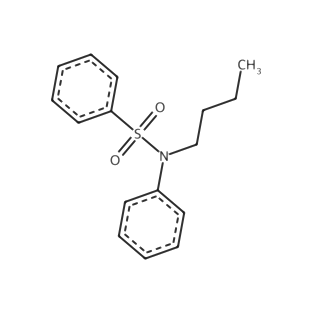 CCCCN(c1ccccc1)S(=O)(=O)c1ccccc1